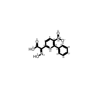 O=C(O)C(=NO)c1ccc([N+](=O)[O-])c(-c2ccccc2)n1